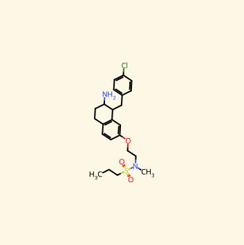 CCCS(=O)(=O)N(C)CCOc1ccc2c(c1)C(Cc1ccc(Cl)cc1)C(N)CC2